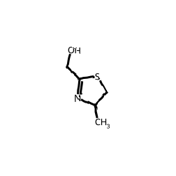 CC1CSC(CO)=N1